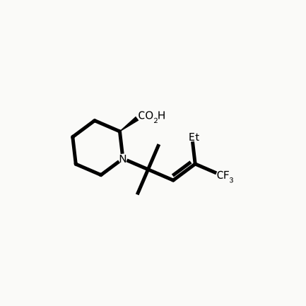 CC/C(=C\C(C)(C)N1CCCC[C@H]1C(=O)O)C(F)(F)F